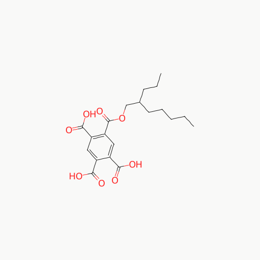 CCCCCC(CCC)COC(=O)c1cc(C(=O)O)c(C(=O)O)cc1C(=O)O